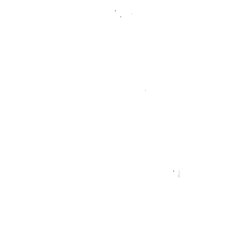 CC(C)Cc1c[nH]c2ccc(Oc3c(C(F)(F)F)cc([N+](=O)[O-])cc3C(F)(F)F)cc12